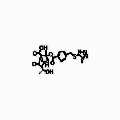 C[C@@H](O)[C@H]1C(=O)N2C(C(=O)O)C(C)(OC(=O)c3ccc(CSc4nnnn4C)cc3)S[C@H]12